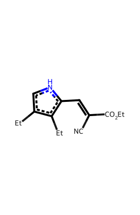 CCOC(=O)C(C#N)=Cc1[nH]cc(CC)c1CC